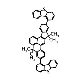 CC1(C)c2cc(-c3cccc4sc5ccccc5c34)ccc2-c2c1cc1c3c(cccc23)C(C)(C)c2cc(-c3cccc4sc5ccccc5c34)ccc2-1